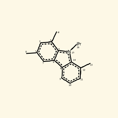 Cc1cc(C)c2c(c1)c1cccc(C)c1n2C(C)C